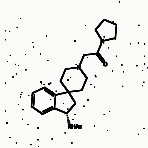 CC(=O)N[C@H]1CC2(CCN(CC(=O)N3CCCC3)CC2)c2ccccc21